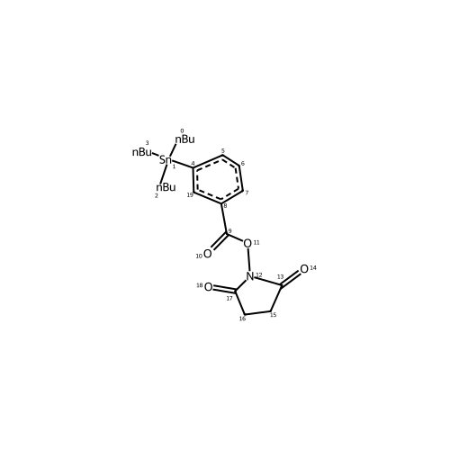 CCC[CH2][Sn]([CH2]CCC)([CH2]CCC)[c]1cccc(C(=O)ON2C(=O)CCC2=O)c1